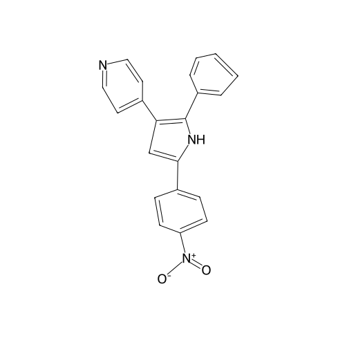 O=[N+]([O-])c1ccc(-c2cc(-c3ccncc3)c(-c3ccccc3)[nH]2)cc1